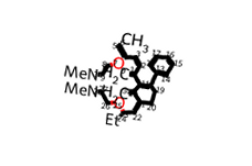 C=C(/C=C\C(=C/C)OCCNC)C1=C(c2ccccc2)CC/C(=C/C(CC)OCCNC)C1=C